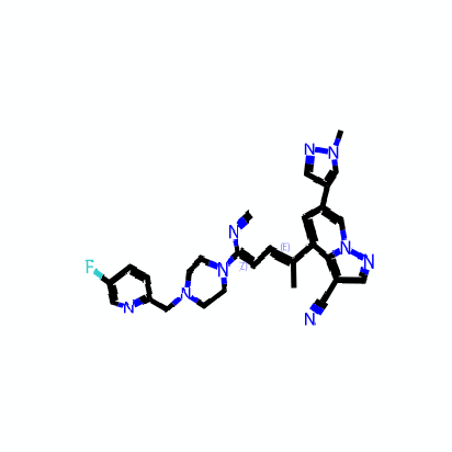 C=N/C(=C\C=C(/C)c1cc(-c2cnn(C)c2)cn2ncc(C#N)c12)N1CCN(Cc2ccc(F)cn2)CC1